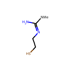 CNC(N)=NCCS